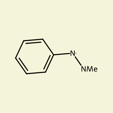 CN[N]c1ccccc1